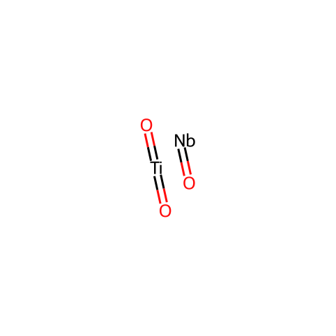 [O]=[Nb].[O]=[Ti]=[O]